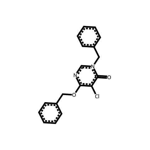 O=c1c(Cl)c(OCc2ccccc2)ncn1Cc1ccccc1